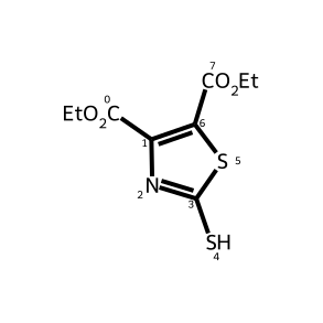 CCOC(=O)c1nc(S)sc1C(=O)OCC